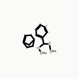 C1=C2CCC(C1)C2.COOC(OOC)c1ccccc1